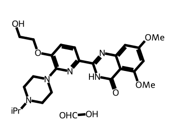 COc1cc(OC)c2c(=O)[nH]c(-c3ccc(OCCO)c(N4CCN(C(C)C)CC4)n3)nc2c1.O=CO